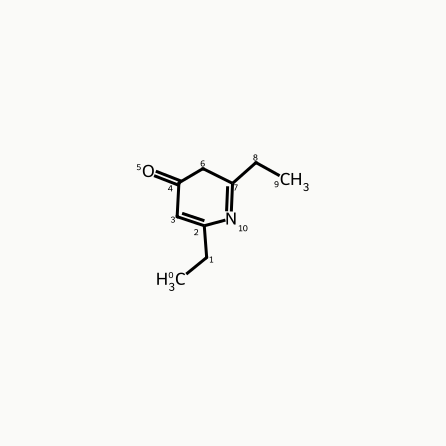 CCC1=CC(=O)CC(CC)=N1